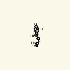 C[C@]12C=CC(=O)C=C1CC[C@@H]1[C@@H]2[C@@H](O)C[C@@]2(C)[C@H]1C[C@H]1O[C@@H](c3ccc(Cc4cc(N)c5c(c4)CCO5)cc3)O[C@]12C(=O)CO